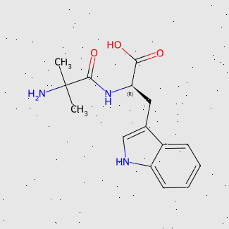 CC(C)(N)C(=O)N[C@H](Cc1c[nH]c2ccccc12)C(=O)O